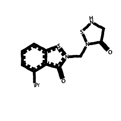 CC(C)c1cccc2sn(CN3SNCC3=O)c(=O)c12